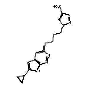 O=C(O)c1cn(CCCCc2cc3cc(C4CC4)[nH]c3nn2)nn1